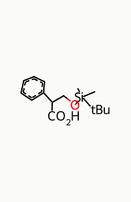 CC(C)(C)[Si](C)(C)OCC(C(=O)O)c1ccccc1